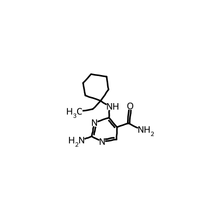 CCC1(Nc2nc(N)ncc2C(N)=O)CCCCC1